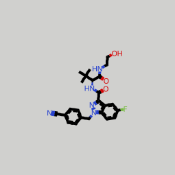 CC(C)(C)[C@H](NC(=O)c1nn(Cc2ccc(C#N)cc2)c2ccc(F)cc12)C(=O)NCCO